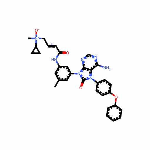 Cc1cc(NC(=O)/C=C/C[N+](C)([O-])C2CC2)cc(-n2c(=O)n(-c3ccc(Oc4ccccc4)cc3)c3c(N)ncnc32)c1